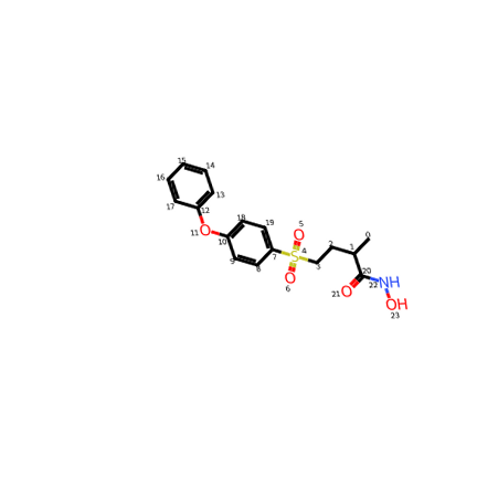 CC(CCS(=O)(=O)c1ccc(Oc2ccccc2)cc1)C(=O)NO